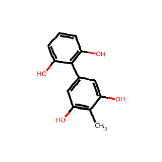 Cc1c(O)cc(-c2c(O)cccc2O)cc1O